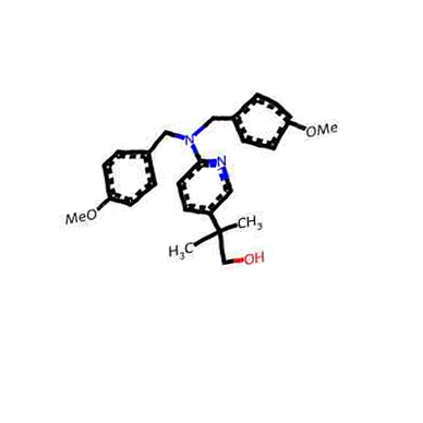 COc1ccc(CN(Cc2ccc(OC)cc2)c2ccc(C(C)(C)CO)cn2)cc1